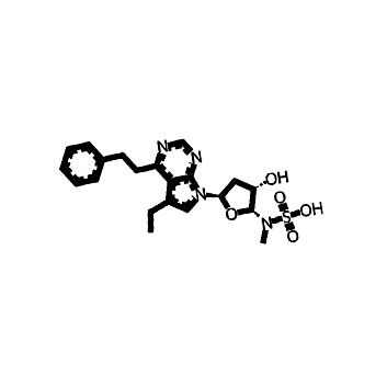 CCc1cn([C@H]2C[C@H](O)[C@H](N(C)S(=O)(=O)O)O2)c2ncnc(CCc3ccccc3)c12